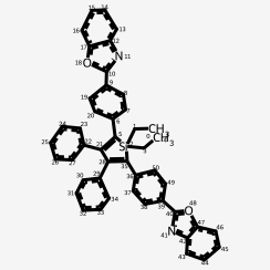 CC[Si]1(CC)C(c2ccc(-c3nc4ccccc4o3)cc2)=C(c2ccccc2)C(c2ccccc2)=C1c1ccc(-c2nc3ccccc3o2)cc1